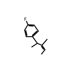 C/C=C(/C)C(C)c1ccc(F)cc1